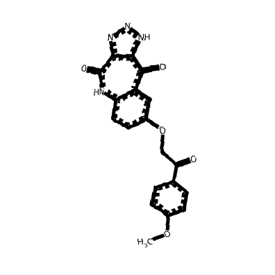 COc1ccc(C(=O)COc2ccc3[nH]c(=O)c4nn[nH]c4c(=O)c3c2)cc1